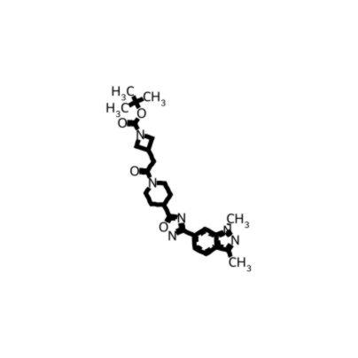 Cc1nn(C)c2cc(-c3noc(C4CCN(C(=O)CC5CN(C(=O)OC(C)(C)C)C5)CC4)n3)ccc12